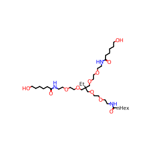 CCCCCCC(=O)NCCOCCOCC(CC)(COCCOCCNC(=O)CCCCCO)COCCOCCNC(=O)CCCCCO